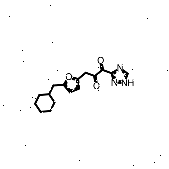 O=C(Cc1ccc(CC2CCCCC2)o1)C(=O)c1nc[nH]n1